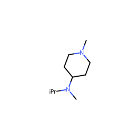 CC(C)N(C)C1CCN(C)CC1